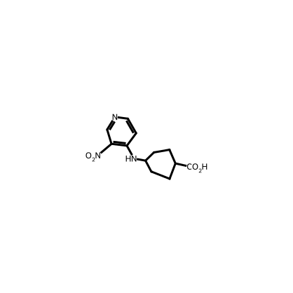 O=C(O)C1CCC(Nc2ccncc2[N+](=O)[O-])CC1